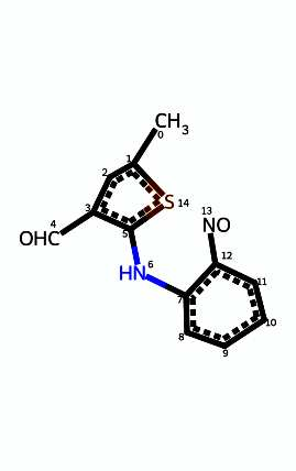 Cc1cc(C=O)c(Nc2ccccc2N=O)s1